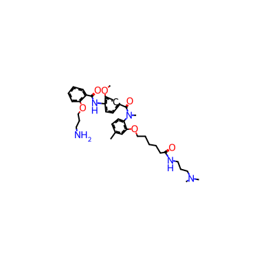 COc1cc(C(=O)N(C)c2ccc(C)cc2OCCCCCC(=O)NCCCN(C)C)ccc1NC(=O)c1ccccc1OCCCN